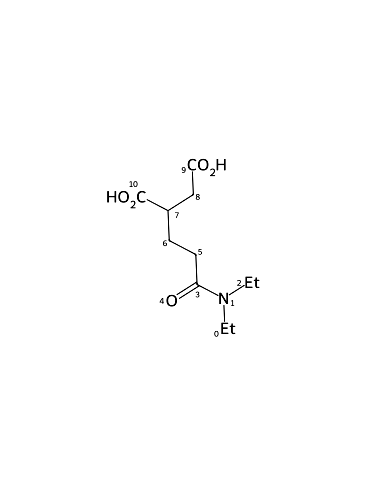 CCN(CC)C(=O)CCC(CC(=O)O)C(=O)O